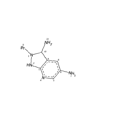 CC(C)N1Nc2ncc(N)cc2C1N